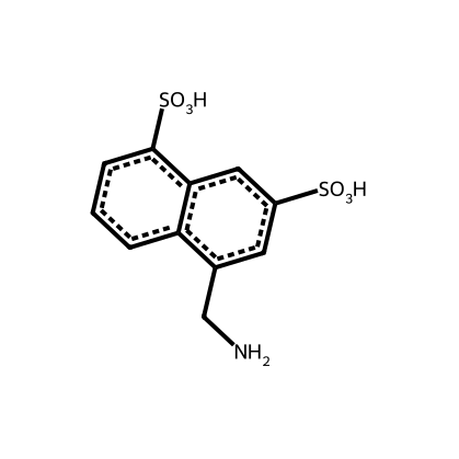 NCc1cc(S(=O)(=O)O)cc2c(S(=O)(=O)O)cccc12